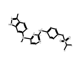 Cc1n[nH]c2cc(N(C)c3ccnc(Nc4ccc(CS(=O)(=O)C(C)C)cc4)n3)ccc12